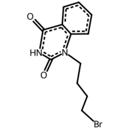 O=c1[nH]c(=O)n(CCCCBr)c2ccccc12